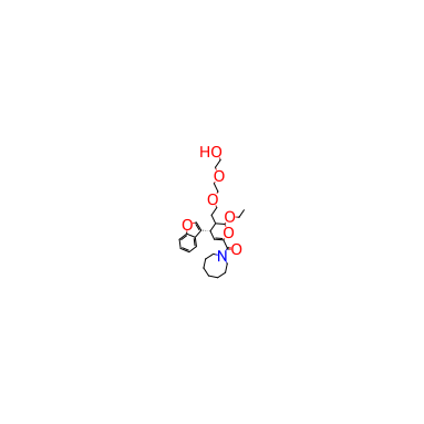 CCOC1OC(C(=O)N2CCCCCCC2)=C[C@H](c2coc3ccccc23)C1CCOCCOCCO